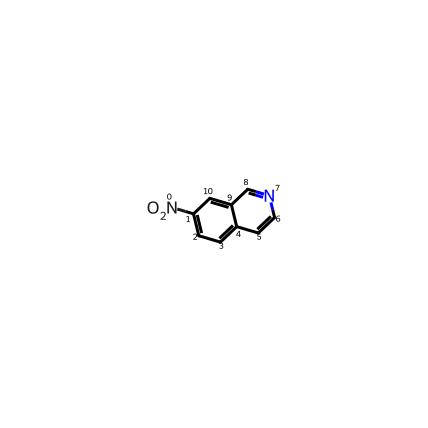 O=[N+]([O-])c1ccc2ccncc2c1